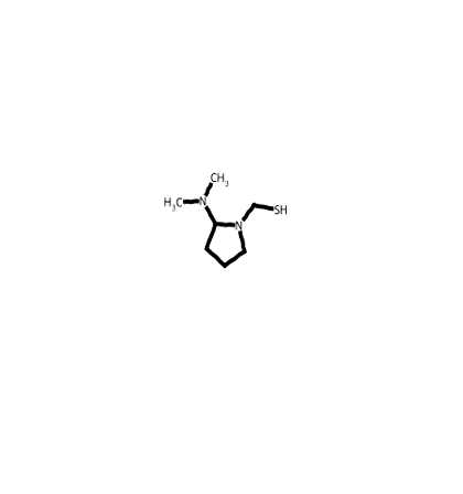 CN(C)C1CCCN1CS